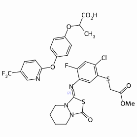 CC(Oc1ccc(Oc2ccc(C(F)(F)F)cn2)cc1)C(=O)O.COC(=O)CSc1cc(/N=c2\sc(=O)n3n2CCCC3)c(F)cc1Cl